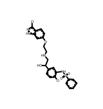 O=S(=O)(Nc1cc(C(O)CNCCOc2ccc3c(Cl)n[nH]c3c2)ccc1Cl)c1ccccc1